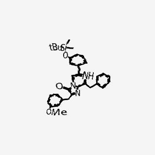 COc1cccc(Cc2nc3c(Cc4ccccc4)[nH]c(-c4cccc(O[Si](C)(C)C(C)(C)C)c4)cn-3c2=O)c1